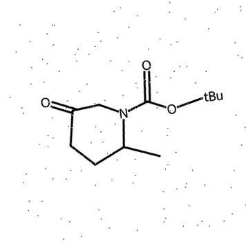 CC1CCC(=O)CN1C(=O)OC(C)(C)C